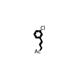 CC(=O)CC=Cc1cccc(Cl)c1